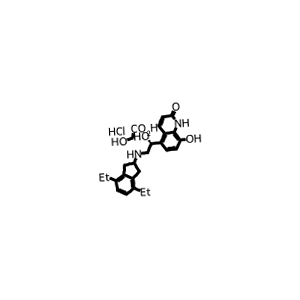 CCc1ccc(CC)c2c1CC(NC[C@@H](O)c1ccc(O)c3[nH]c(=O)ccc13)C2.Cl.O=C(O)CO